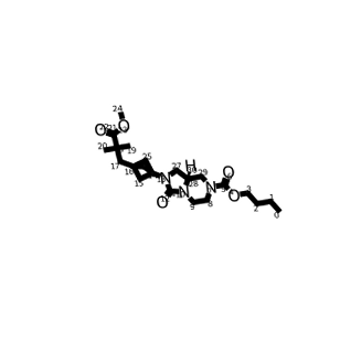 CCCCOC(=O)N1CCN2C(=O)N(C34CC(CC(C)(C)C(=O)OC)(C3)C4)C[C@@H]2C1